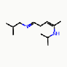 CC(=CCC=NCC(C)C)NC(C)C